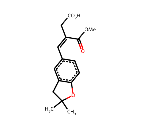 COC(=O)/C(=C\c1ccc2c(c1)CC(C)(C)O2)CC(=O)O